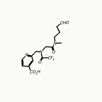 CN(CCCC=O)C(=O)CN(Cc1cc(C(=O)O)ccn1)C(=O)C(F)(F)F